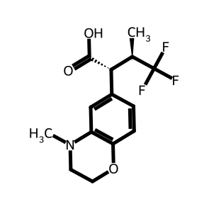 C[C@H]([C@@H](C(=O)O)c1ccc2c(c1)N(C)CCO2)C(F)(F)F